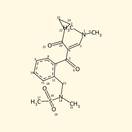 CN(C)C=C(C(=O)c1ccccc1CN(C)S(C)(=O)=O)C(=O)C1CC1